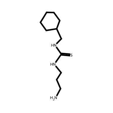 NCCCNC(=S)NCC1CCCCC1